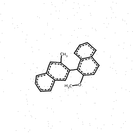 COc1ccc2ccccc2c1-c1cc2ccccc2cc1C